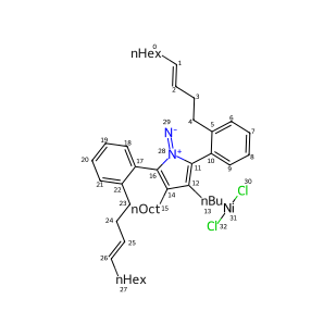 CCCCCCC=CCCc1ccccc1C1=C(CCCC)C(CCCCCCCC)=C(c2ccccc2CCC=CCCCCCC)[N+]1=[N-].[Cl][Ni][Cl]